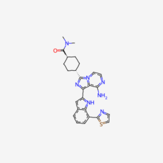 CN(C)C(=O)[C@H]1CC[C@H](c2nc(-c3cc4cccc(-c5nccs5)c4[nH]3)c3c(N)nccn32)CC1